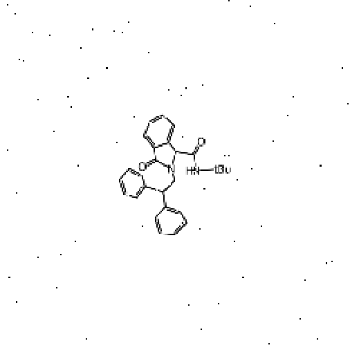 CC(C)(C)NC(=O)C1c2ccccc2C(=O)N1CC(c1ccccc1)c1ccccc1